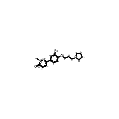 Cn1nc(-c2ccc(OCCCN3CCCC3)c(F)c2)ccc1=O